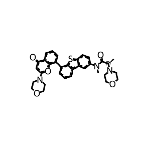 C[C@H](C(=O)N(C)c1ccc2sc3c(-c4cccc5c(=O)cc(N6CCOCC6)oc45)cccc3c2c1)N1CCOCC1